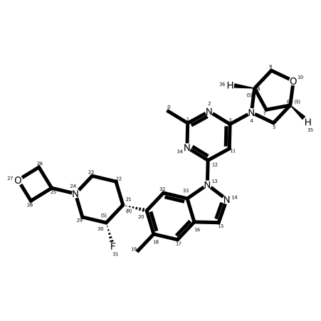 Cc1nc(N2C[C@@H]3C[C@H]2CO3)cc(-n2ncc3cc(C)c([C@H]4CCN(C5COC5)C[C@H]4F)cc32)n1